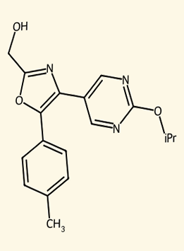 Cc1ccc(-c2oc(CO)nc2-c2cnc(OC(C)C)nc2)cc1